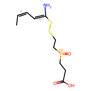 C/C=C\C=C(/N)SSCC[PH](=O)CCC(=O)O